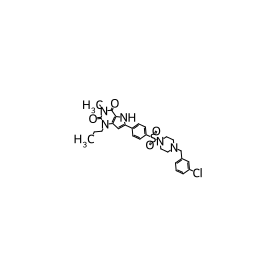 CCCn1c(=O)n(C)c(=O)c2[nH]c(-c3ccc(S(=O)(=O)N4CCN(Cc5cccc(Cl)c5)CC4)cc3)cc21